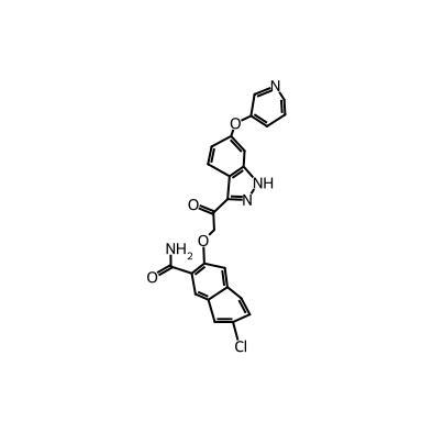 NC(=O)c1cc2cc(Cl)ccc2cc1OCC(=O)c1n[nH]c2cc(Oc3cccnc3)ccc12